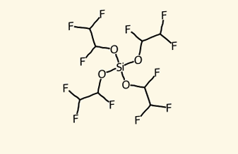 FC(F)C(F)O[Si](OC(F)C(F)F)(OC(F)C(F)F)OC(F)C(F)F